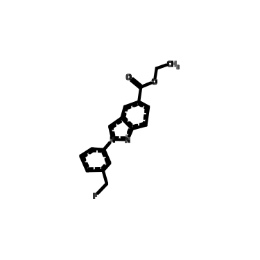 CCOC(=O)c1ccc2nn(-c3cccc(CF)c3)cc2c1